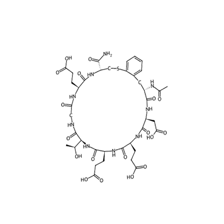 CC(=O)N[C@H]1Cc2ccccc2SC[C@@H](C(N)=O)NC(=O)[C@H](CCC(=O)O)NC(=O)CNC(=O)[C@H]([C@H](C)O)NC(=O)[C@H](CCC(=O)O)NC(=O)[C@H](CCC(=O)O)NC(=O)[C@H](CC(=O)O)NC1=O